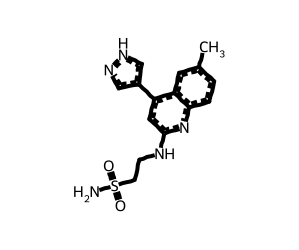 Cc1ccc2nc(NCCS(N)(=O)=O)cc(-c3cn[nH]c3)c2c1